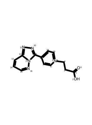 O=C(O)CC[n+]1ccc(-c2nnc3cccnn23)cc1